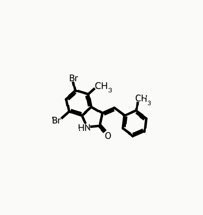 Cc1ccccc1C=C1C(=O)Nc2c(Br)cc(Br)c(C)c21